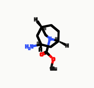 CC(C)(C)OC(=O)N1C[C@H]2CC[C@H]1C[C@@H](N)C2